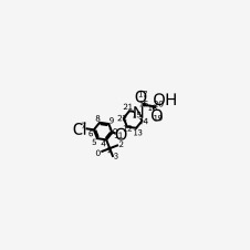 CC(C)(C)c1cc(Cl)ccc1OC1CCN(C(=O)C(=O)O)CC1